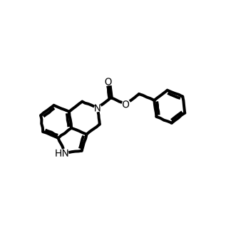 O=C(OCc1ccccc1)N1Cc2cccc3[nH]cc(c23)C1